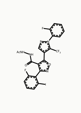 CC(=O)NNC(=O)c1c(-c2c(F)cccc2I)noc1-c1cnn(-c2ccccc2F)c1C(F)(F)F